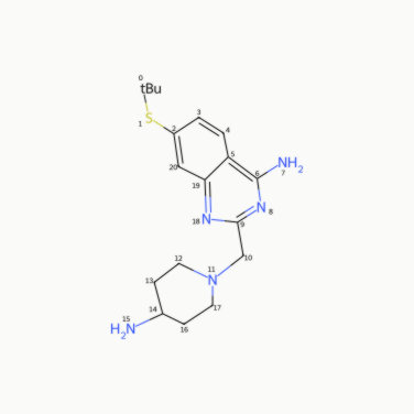 CC(C)(C)Sc1ccc2c(N)nc(CN3CCC(N)CC3)nc2c1